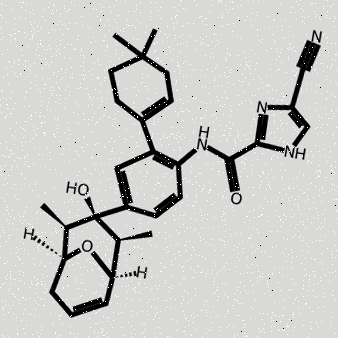 C[C@@H]1[C@@H]2CC=C[C@@H](O2)[C@H](C)[C@@]1(O)c1ccc(NC(=O)c2nc(C#N)c[nH]2)c(C2=CCC(C)(C)CC2)c1